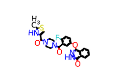 CC1NC(C(=O)N2CCN(C(=O)c3cc(Oc4n[nH]c(=O)c5ccccc45)ccc3F)CC2)=CS1